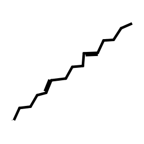 [CH2]CCCC=CCCCC=CCCCC